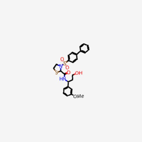 COc1cccc(C(CCO)NC(=O)C2SCCN2S(=O)(=O)c2ccc(-c3ccccc3)cc2)c1